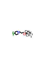 CC(C)(C)OCCCN1CCC(F)(F)CC1